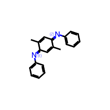 CC1=CC(=N\c2ccccc2)/C(C)=CC/1=N/c1ccccc1